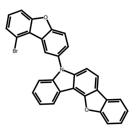 Brc1cccc2oc3ccc(-n4c5ccccc5c5c6oc7ccccc7c6ccc54)cc3c12